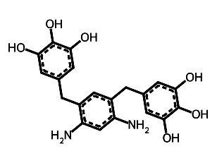 Nc1cc(N)c(Cc2cc(O)c(O)c(O)c2)cc1Cc1cc(O)c(O)c(O)c1